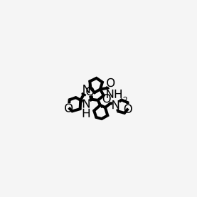 N#CC1(NC(=O)C(CC2(C(N)=O)CCCCC2)C2CCCC[C]2C(=O)N2CCOCC2)CCOCC1